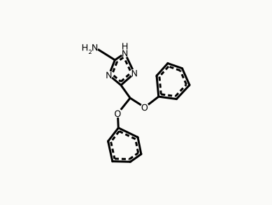 Nc1nc(C(Oc2ccccc2)Oc2ccccc2)n[nH]1